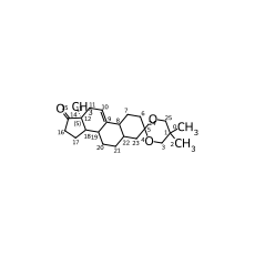 CC1(C)COC2(CCC3C4=CC[C@]5(C)C(=O)CCC5C4CCC3C2)OC1